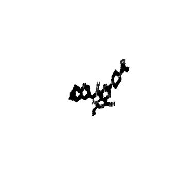 CCC(C)Nc1c(N[C@H](C)c2cnc3ccccc3c2)nc(N2CCN(C(C)=O)CC2)nc1C(=N)Br